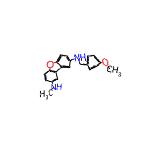 CNc1ccc2oc3ccc(NCc4ccc(OC)cc4)cc3c2c1